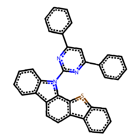 c1ccc(-c2cc(-c3ccccc3)nc(-n3c4ccccc4c4ccc5c6ccccc6sc5c43)n2)cc1